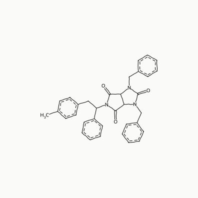 Cc1ccc(CC(c2ccccc2)N2C(=O)C3C(C2=O)N(Cc2ccccc2)C(=O)N3Cc2ccccc2)cc1